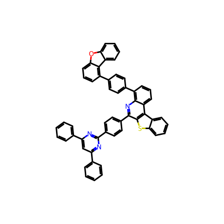 c1ccc(-c2cc(-c3ccccc3)nc(-c3ccc(-c4nc5c(-c6ccc(-c7cccc8oc9ccccc9c78)cc6)cccc5c5c4sc4ccccc45)cc3)n2)cc1